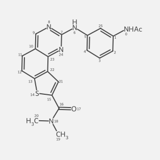 CC(=O)Nc1cccc(Nc2ncc3ccc4sc(C(=O)N(C)C)cc4c3n2)c1